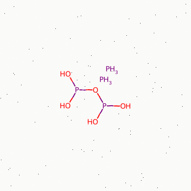 OP(O)OP(O)O.P.P